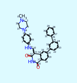 CN1CCN(c2ccc(N/C=C3\C(=O)NC(=O)c4ccc(-c5cccc(-c6ccccc6)c5)cc43)cc2)CC1